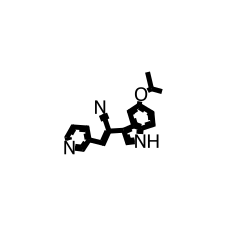 CC(C)Oc1ccc2[nH]cc(C(C#N)=Cc3cccnc3)c2c1